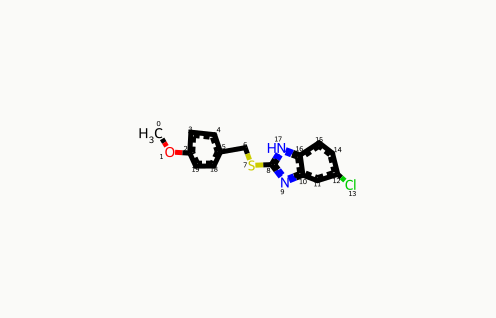 COc1ccc(CSc2nc3cc(Cl)ccc3[nH]2)cc1